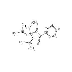 CCC(CN(C)C)(CN(C)C)OC(=O)c1ccccc1